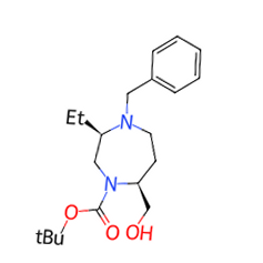 CC[C@@H]1CN(C(=O)OC(C)(C)C)[C@H](CO)CCN1Cc1ccccc1